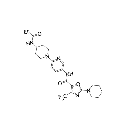 CCC(=O)NC1CCN(c2ccc(NC(=O)c3oc(N4CCCCC4)nc3C(F)(F)F)cn2)CC1